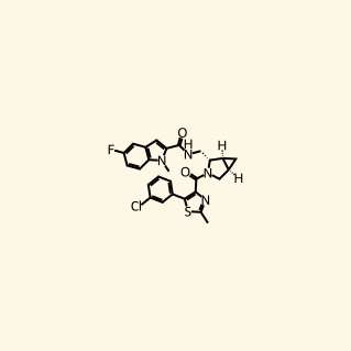 Cc1nc(C(=O)N2C[C@@H]3C[C@@H]3[C@H]2CNC(=O)c2cc3cc(F)ccc3n2C)c(-c2cccc(Cl)c2)s1